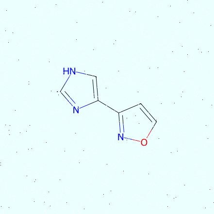 [c]1nc(-c2ccon2)c[nH]1